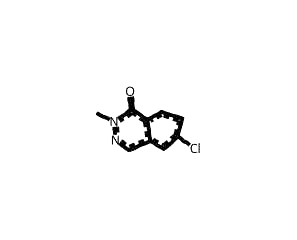 Cn1ncc2cc(Cl)ccc2c1=O